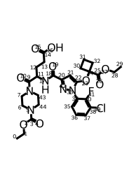 CCOC(=O)N1CCN(C(=O)C(CCC(=O)O)NC(=O)c2cc(OC3(C(=O)OCC)CCC3)n(-c3cccc(Cl)c3F)n2)CC1